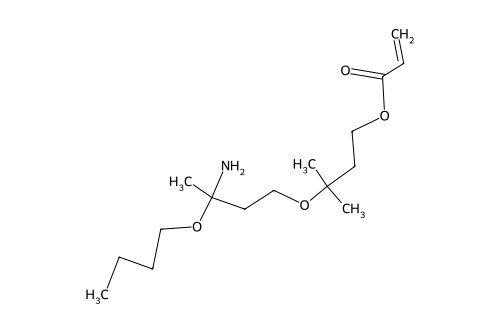 C=CC(=O)OCCC(C)(C)OCCC(C)(N)OCCCC